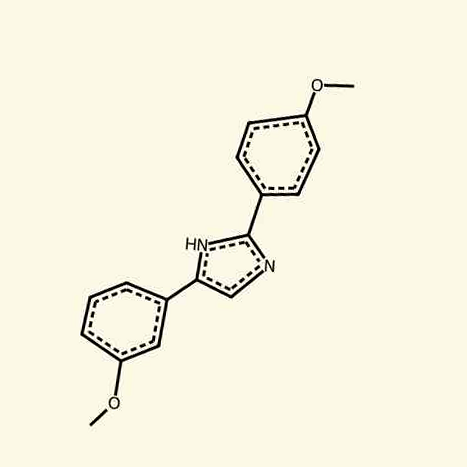 COc1ccc(-c2ncc(-c3cccc(OC)c3)[nH]2)cc1